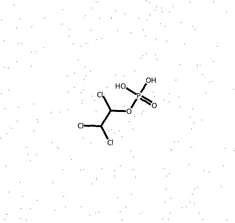 O=P(O)(O)OC(Cl)C(Cl)Cl